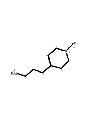 CCCN1CCC(CCCC(C)(C)C)CC1